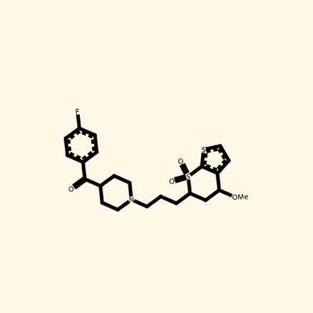 COC1CC(CCCN2CCC(C(=O)c3ccc(F)cc3)CC2)S(=O)(=O)c2sccc21